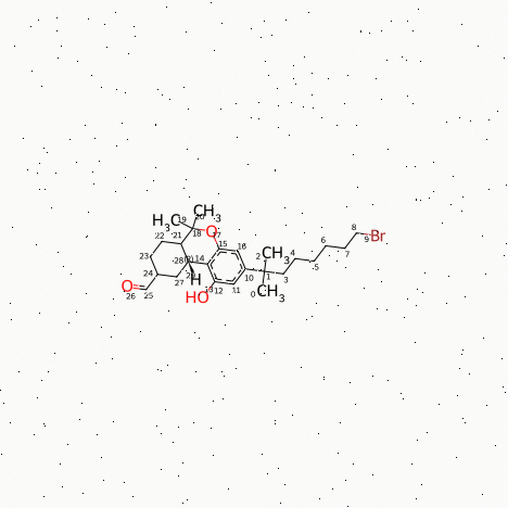 CC(C)(CCCCCCBr)c1cc(O)c2c(c1)OC(C)(C)C1CCC(C=O)C[C@@H]21